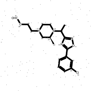 CC(c1noc(-c2cccc(Cl)c2)n1)N1CCN(CCOC=O)C[C@@H]1C